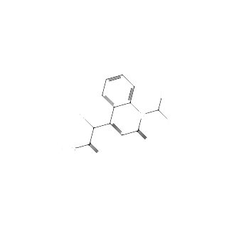 NC(=O)C(N)c1cc(=O)n(C(F)F)c2ccccc12